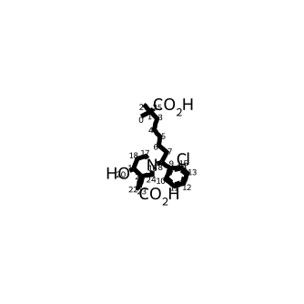 CC(C)(CCCCCC(c1ccccc1Cl)N1CCC(O)C(=CC(=O)O)C1)C(=O)O